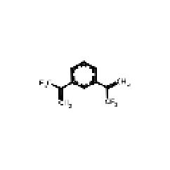 C=C(c1cccc(C(=C)C(F)(F)F)c1)C(F)(F)F